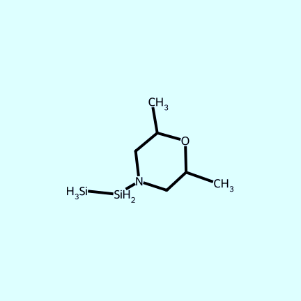 CC1CN([SiH2][SiH3])CC(C)O1